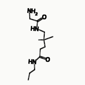 CCCNC(=O)CCC(C)(C)CNC(=O)CN